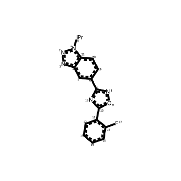 CC(C)n1nnc2cc(-c3noc(-c4ccccc4F)n3)ccc21